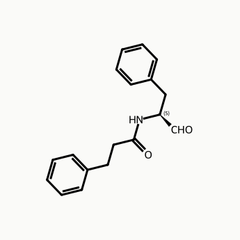 O=C[C@H](Cc1ccccc1)NC(=O)CCc1ccccc1